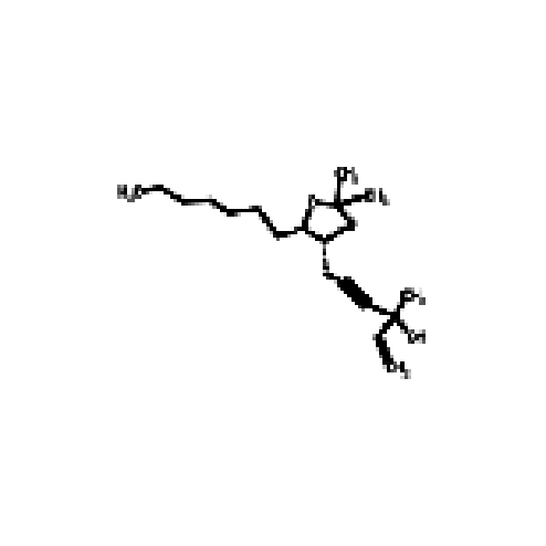 C=CC(C)(O)C#CC[C@H]1OC(C)(C)O[C@@H]1CCCCCCC